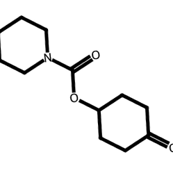 O=C1CCC(OC(=O)N2CCCCC2)CC1